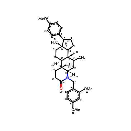 COc1ccc([C@H]2CC[C@H]3[C@@H]4[C@@H](C)C[C@H]5N(Cc6ccc(OC)cc6OC)C(=O)CC[C@]5(C)[C@H]4CC[C@]23C)cc1